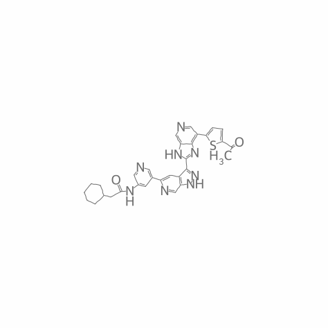 CC(=O)c1ccc(-c2cncc3[nH]c(-c4n[nH]c5cnc(-c6cncc(NC(=O)CC7CCCCC7)c6)cc45)nc23)s1